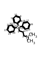 CN(C)CCC[Si](c1ccccc1)(c1ccccc1)c1ccccc1